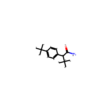 CC(C)(C)c1ccc(C(C(N)=O)C(C)(C)C)cc1